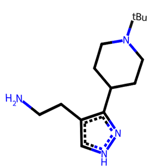 CC(C)(C)N1CCC(c2n[nH]cc2CCN)CC1